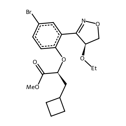 CCO[C@@H]1CON=C1c1cc(Br)ccc1O[C@@H](CC1CCC1)C(=O)OC